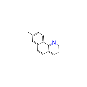 Cc1ccc2c(ccc3cccnc32)c1